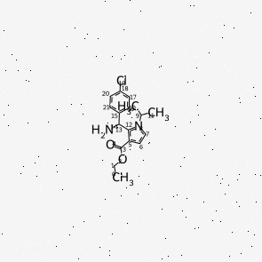 CCOC(=O)c1ccn(C(C)C)c1C(N)c1ccc(Cl)cc1